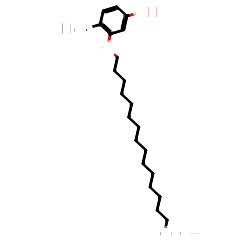 CCCCCCc1ccc(O)cc1OCCCCCCCCCCCCCCCC(=O)O